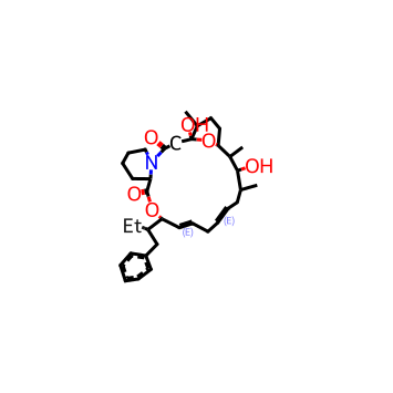 CCC(Cc1ccccc1)C1/C=C/C/C=C/CC(C)C(O)C(C)C2CCC(C)C(O)(CC(=O)N3CCCCC3C(=O)O1)O2